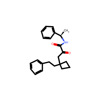 C[C@@H](NC(=O)C(=O)CC1(CCc2ccccc2)CCC1)c1ccccc1